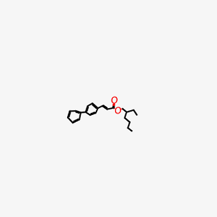 CCCCC(CC)COC(=O)/C=C/c1ccc(-c2ccccc2)cc1